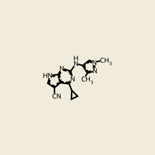 Cc1nn(C)cc1Nc1nc(C2CC2)c2c(C#N)c[nH]c2n1